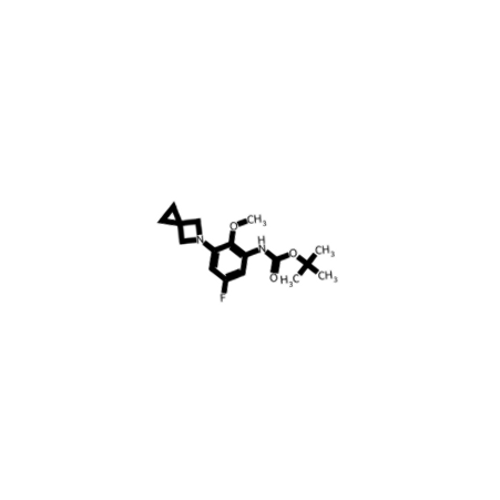 COc1c(NC(=O)OC(C)(C)C)cc(F)cc1N1CC2(CC2)C1